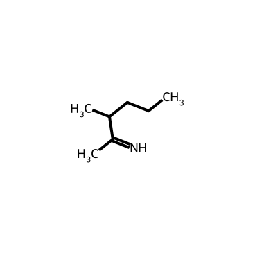 CCCC(C)C(C)=N